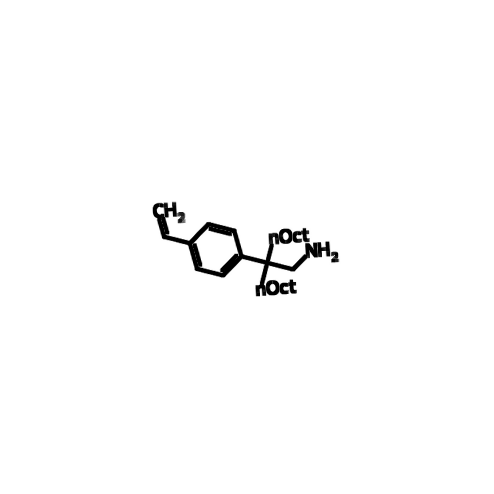 C=Cc1ccc(C(CN)(CCCCCCCC)CCCCCCCC)cc1